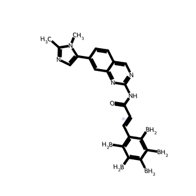 Bc1c(B)c(B)c(/C=C/C(=O)Nc2ncc3ccc(-c4cnc(C)n4C)cc3n2)c(B)c1B